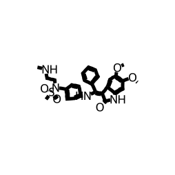 CNCCN(c1ccc(N/C(=C2\C(=O)Nc3cc(OC)c(OC)cc32)c2ccccc2)cc1)S(C)(=O)=O